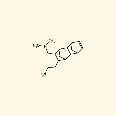 CN(C)CC1C(CCN)C2CC1C1C3C=CC(C3)C21